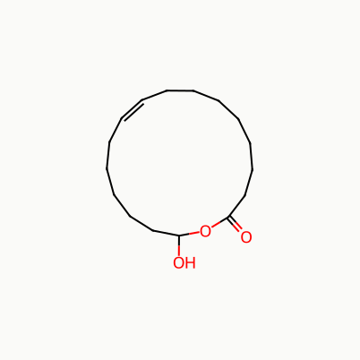 O=C1CCCCCCCC=CCCCCCC(O)O1